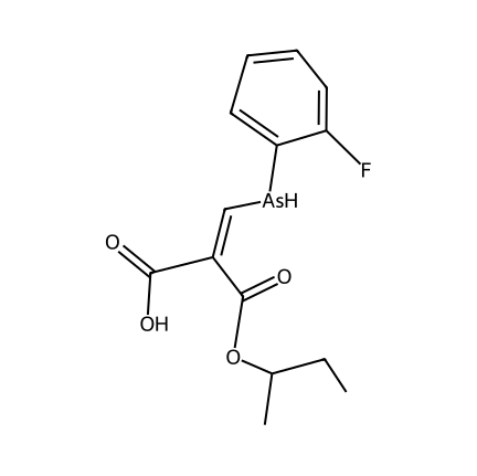 CCC(C)OC(=O)C(=C[AsH]c1ccccc1F)C(=O)O